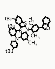 Cc1cc2c3c(c1)N(c1c(C)cc(-c4coc5ccccc45)cc1C)c1sc4ccc(C(C)(C)C)cc4c1B3c1cc(C(C)(C)C)ccc1N2c1ccc(C(C)(C)C)cc1